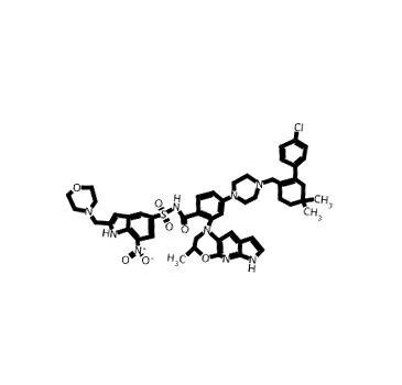 CC1CN(c2cc(N3CCN(CC4=C(c5ccc(Cl)cc5)CC(C)(C)CC4)CC3)ccc2C(=O)NS(=O)(=O)c2cc([N+](=O)[O-])c3[nH]c(CN4CCOCC4)cc3c2)c2cc3cc[nH]c3nc2O1